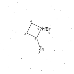 Br.[Zn][CH]1CCC1